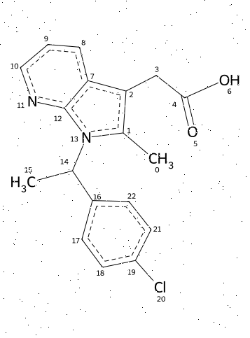 Cc1c(CC(=O)O)c2cccnc2n1C(C)c1ccc(Cl)cc1